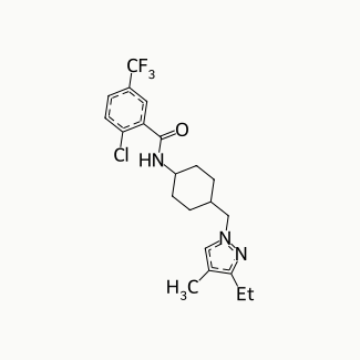 CCc1nn(CC2CCC(NC(=O)c3cc(C(F)(F)F)ccc3Cl)CC2)cc1C